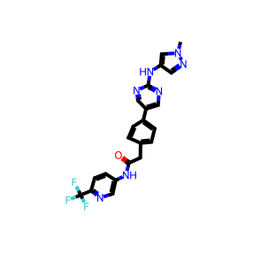 Cn1cc(Nc2ncc(-c3ccc(CC(=O)Nc4ccc(C(F)(F)F)nc4)cc3)cn2)cn1